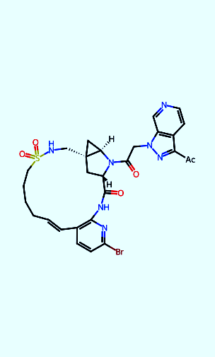 CC(=O)c1nn(CC(=O)N2[C@H]3C[C@@]4(CNS(=O)(=O)CCCC/C=C/c5ccc(Br)nc5NC3=O)C[C@@H]24)c2cnccc12